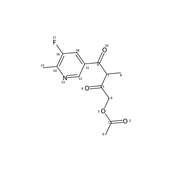 CC(=O)OCC(=O)C(C)C(=O)c1cnc(C)c(F)c1